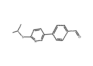 CC(C)Sc1ccc(-c2ccc(C=O)cc2)cn1